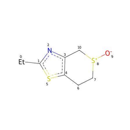 CCc1nc2c(s1)CC[S+]([O-])C2